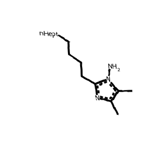 CCCCCCCCCCCc1nc(C)c(C)n1N